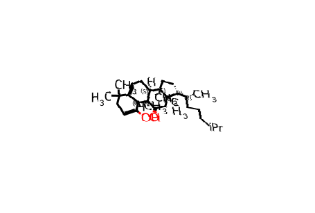 CC(C)CCC[C@@H](C)[C@H]1CC[C@@]2(C)[C@@H]3CC=C4[C@@H](C(O)=CCC4(C)C)[C@]3(C)C(=O)C[C@]12C